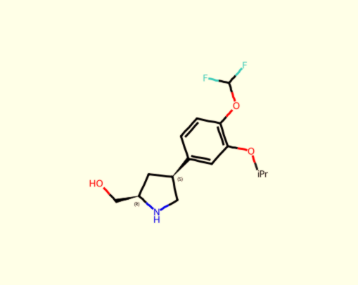 CC(C)Oc1cc([C@H]2CN[C@@H](CO)C2)ccc1OC(F)F